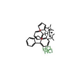 Cl.Cl.[CH2]=[Hf]([C]1=CC=CC1)([c]1ccccc1)([c]1cccc2c1Cc1ccccc1-2)([Si](C)(C)C)[Si](C)(C)C